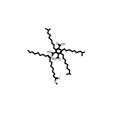 CC(C)CCCCCCCc1c(CCCCCCCC(C)C)c(C(=O)O)c(C(=O)O)c(CCCCCCCC(C)C)c1C(=O)O.CCCCCCCC/C=C\CCCCCCCC(=O)OC